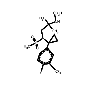 CC(C)(CN(C1(c2ccc(F)c(C(F)(F)F)c2)CC1)S(C)(=O)=O)NC(=O)O